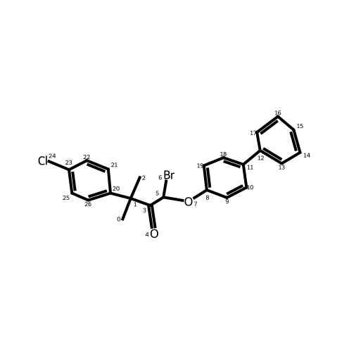 CC(C)(C(=O)C(Br)Oc1ccc(-c2ccccc2)cc1)c1ccc(Cl)cc1